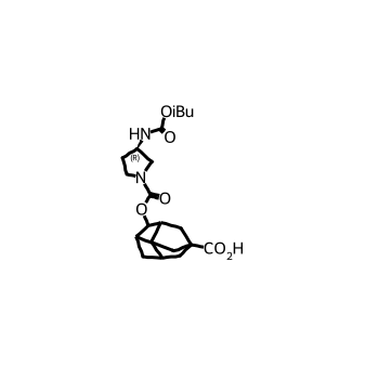 CC(C)COC(=O)N[C@@H]1CCN(C(=O)OC2C3CC4CC2CC(C(=O)O)(C4)C3)C1